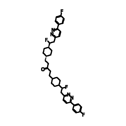 O=C(CCC1CCC(C(F)Cc2ccc(-c3ccc(F)cc3)nn2)CC1)CC[C@H]1CC[C@H](C(F)Cc2ccc(-c3ccc(F)cc3)nn2)CC1